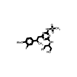 COc1ccc(C(C)Cc2nc(NC(CO)CC(C)C)nc(NS(C)(=O)=O)n2)cc1F